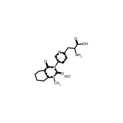 Cl.Cn1c2c(c(=O)n(-c3ccc(CC(N)C(=O)O)nc3)c1=O)CCCC2